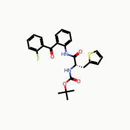 CC(C)(C)OC(=O)N[C@@H](Cc1cccs1)C(=O)Nc1ccccc1C(=O)c1ccccc1F